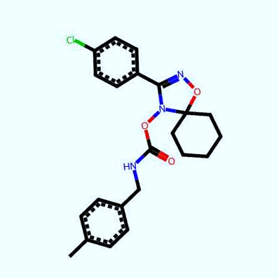 Cc1ccc(CNC(=O)ON2C(c3ccc(Cl)cc3)=NOC23CCCCC3)cc1